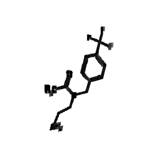 CC(=O)N(CCN)Cc1ccc(C(F)(F)F)cc1